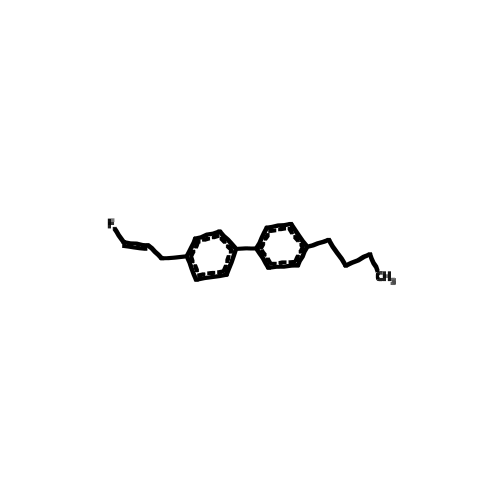 CCCCc1ccc(-c2ccc(C/C=C/F)cc2)cc1